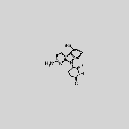 CCC(C)c1cccc2c1c1ccc(N)nc1n2C1CCC(=O)NC1=O